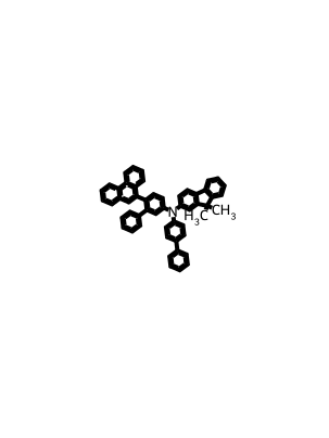 CC1(C)c2ccccc2-c2ccc(N(c3ccc(-c4ccccc4)cc3)c3ccc(-c4cc5ccccc5c5ccccc45)c(-c4ccccc4)c3)cc21